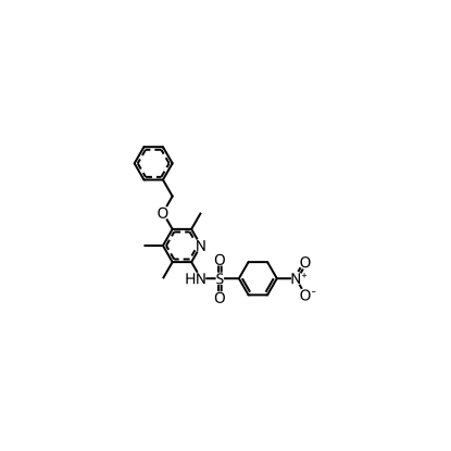 Cc1nc(NS(=O)(=O)C2=CC=C([N+](=O)[O-])CC2)c(C)c(C)c1OCc1ccccc1